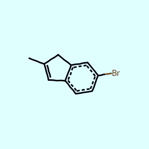 CC1=Cc2ccc(Br)cc2C1